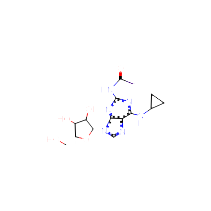 O=C(I)Nc1nc(NC2CC2)c2ncn([C@@H]3O[C@H](CO)C(O)C3O)c2n1